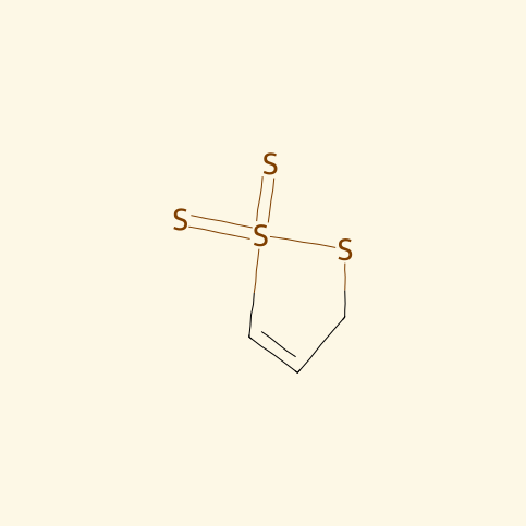 S=S1(=S)C=CCS1